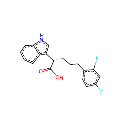 O=C(O)[C@@H](CCCc1ccc(F)cc1F)c1c[nH]c2ccccc12